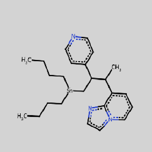 CCC[CH2][Sn]([CH2]CCC)[CH2]C(c1ccncc1)C(C)c1cccn2ccnc12